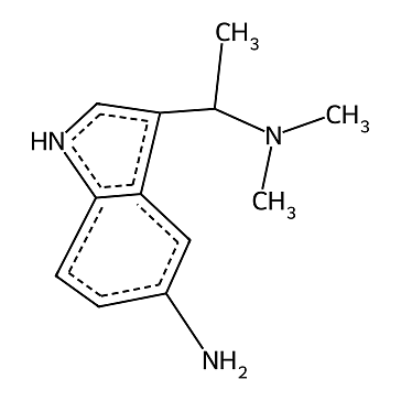 CC(c1c[nH]c2ccc(N)cc12)N(C)C